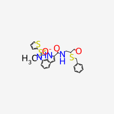 CN(c1cccc2cc(C(=O)NCC(C=O)SCc3ccccc3)[nH]c12)[S+]([O-])c1cccs1